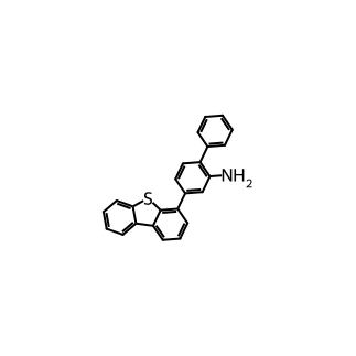 Nc1cc(-c2cccc3c2sc2ccccc23)ccc1-c1ccccc1